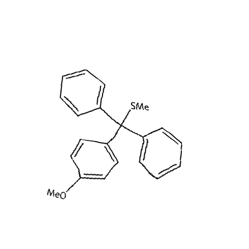 COc1ccc(C(SC)(c2ccccc2)c2ccccc2)cc1